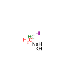 Cl.I.O.[KH].[NaH]